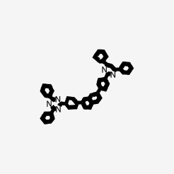 C1=CC(c2nc(-c3ccccc3)nc(-c3ccccc3)n2)CC=C1c1ccc2ccc(-c3ccc(-c4nc(-c5ccccc5)cc(-c5ccccc5)n4)cc3)cc2c1